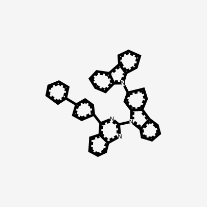 c1ccc(-c2ccc(-c3nc(-n4c5ccccc5c5ccc(-n6c7ccccc7c7ccccc76)cc54)nc4ccccc34)cc2)cc1